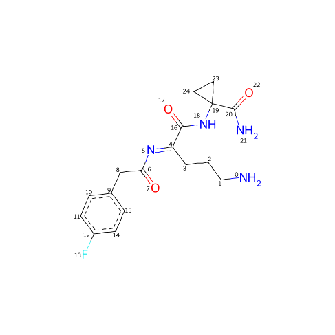 NCCC/C(=N\C(=O)Cc1ccc(F)cc1)C(=O)NC1(C(N)=O)CC1